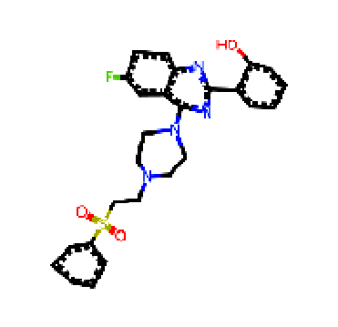 O=S(=O)(CCN1CCN(c2nc(-c3ccccc3O)nc3ccc(F)cc23)CC1)c1ccccc1